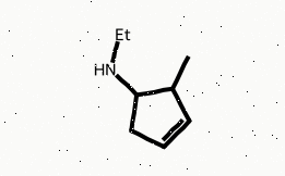 CCNC1CC=CC1C